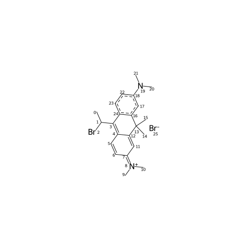 CC(Br)C1=C2C=CC(=[N+](C)C)C=C2C(C)(C)c2cc(N(C)C)ccc21.[Br-]